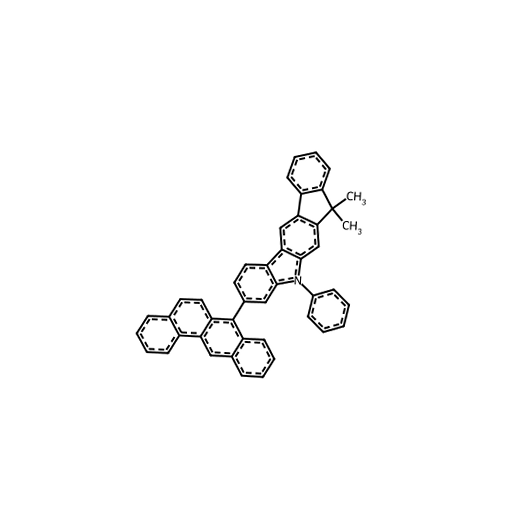 CC1(C)c2ccccc2-c2cc3c4ccc(-c5c6ccccc6cc6c5ccc5ccccc56)cc4n(-c4ccccc4)c3cc21